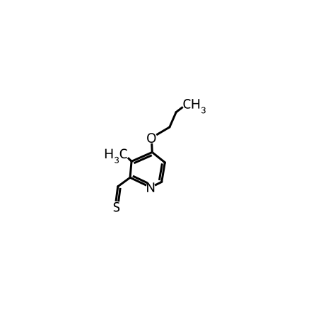 CCCOc1ccnc(C=S)c1C